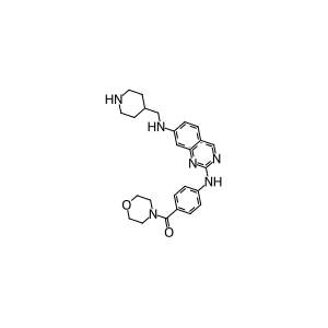 O=C(c1ccc(Nc2ncc3ccc(NCC4CCNCC4)cc3n2)cc1)N1CCOCC1